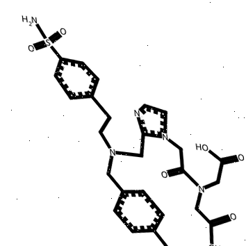 NS(=O)(=O)c1ccc(CCN(Cc2ccc(I)cc2)Cc2nccn2CC(=O)N(CC(=O)O)CC(=O)O)cc1